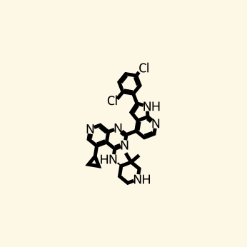 CC1(C)CNCC[C@@H]1Nc1nc(-c2ccnc3[nH]c(-c4cc(Cl)ccc4Cl)cc23)nc2cncc(C3CC3)c12